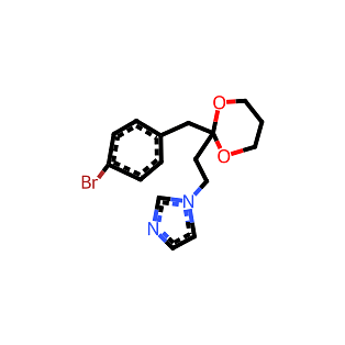 Brc1ccc(CC2(CCn3ccnc3)OCCCO2)cc1